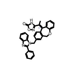 C/C(=C1/c2ccc(Cn3c(-c4ccccc4)nc4ccccc43)cc2COc2ccccc21)c1noc(=O)[nH]1